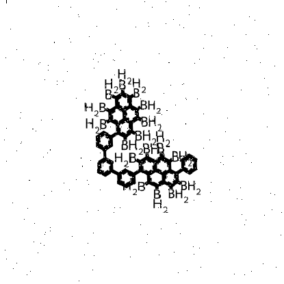 Bc1c(B)c2c(B)c(B)c3c(B)c(B)c(-c4cccc(-c5cccc(-c6cccc(-c7c(B)c(B)c8c(B)c(B)c9c(-c%10ccccc%10)c(B)c(B)c%10c(B)c(B)c7c8c%109)c6)c5)c4)c4c(B)c(B)c(c1B)c2c34